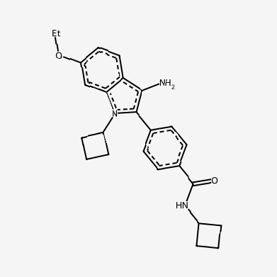 CCOc1ccc2c(N)c(-c3ccc(C(=O)NC4CCC4)cc3)n(C3CCC3)c2c1